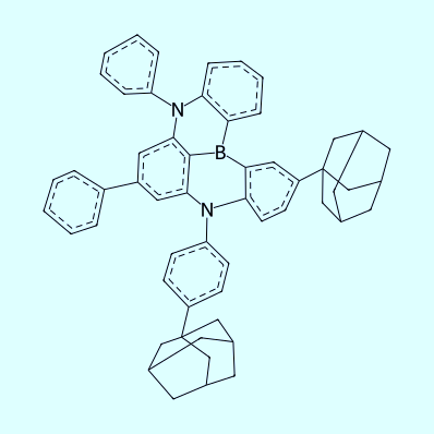 c1ccc(-c2cc3c4c(c2)N(c2ccc(C56CC7CC(CC(C7)C5)C6)cc2)c2ccc(C56CC7CC(CC(C7)C5)C6)cc2B4c2ccccc2N3c2ccccc2)cc1